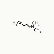 CN(C)CC[CH2][GeH3]